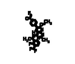 CCOc1nc2nc(C)nc(NC(C)c3cccc(C(F)F)c3F)c2cc1C1=CCN(C(=O)CF)CC1